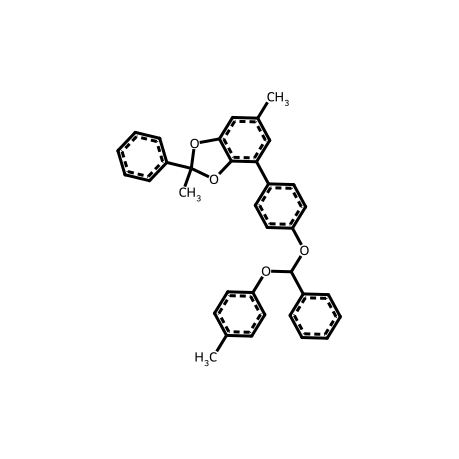 Cc1ccc(OC(Oc2ccc(-c3cc(C)cc4c3OC(C)(c3ccccc3)O4)cc2)c2ccccc2)cc1